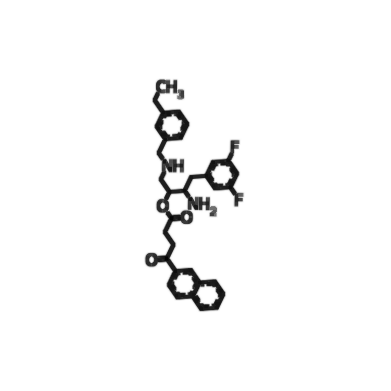 CCc1cccc(CNCC(OC(=O)CCC(=O)c2ccc3ccccc3c2)C(N)Cc2cc(F)cc(F)c2)c1